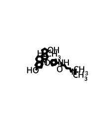 CN(C)CCCCC(=O)Nc1ccc(O[C@H]2C[C@]3(C)[C@@H](O)CC[C@H]3[C@@H]3CCc4cc(O)ccc4[C@H]32)cc1